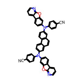 N#Cc1ccc(N(c2ccc3c(ccc4cc(N(c5ccc(C#N)cc5)c5ccc6c(c5)oc5ncccc56)ccc43)c2)c2ccc3c(c2)oc2ncccc23)cc1